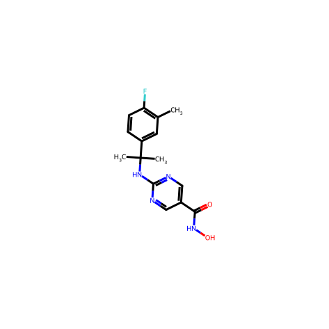 Cc1cc(C(C)(C)Nc2ncc(C(=O)NO)cn2)ccc1F